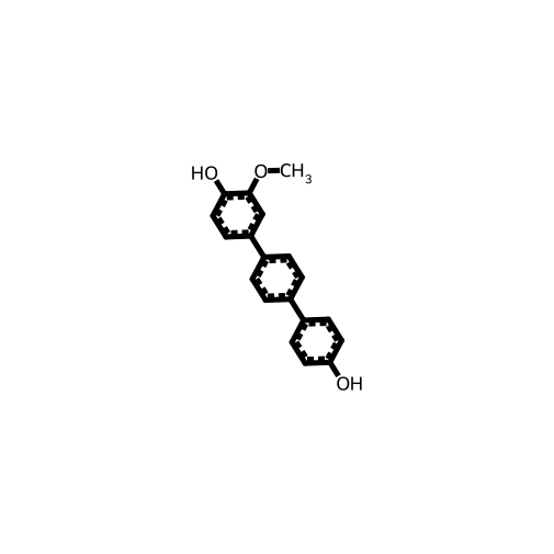 COc1cc(-c2ccc(-c3ccc(O)cc3)cc2)ccc1O